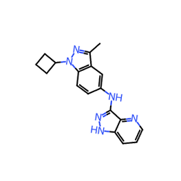 Cc1nn(C2CCC2)c2ccc(Nc3n[nH]c4cccnc34)cc12